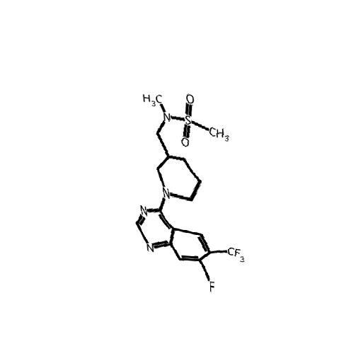 CN(CC1CCCN(c2ncnc3cc(F)c(C(F)(F)F)cc23)C1)S(C)(=O)=O